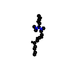 CC(C)c1cc(-c2ccc3c(c2)C(C)(C)c2cc4c(cc2-3)C(C)(C)c2ccc(-c3ccc5c(c3)c3ccccc3n5-c3cc(-c5ccc6c(c5)C(C)(C)c5cc7c(cc5-6)C(C)(C)c5ccccc5-7)cc(-n5c6ccccc6c6ccccc65)c3)cc2-4)cc(-c2ccc3cc(-c4ccc5ccccc5c4)ccc3c2)c1